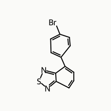 Brc1ccc(-c2cccc3nsnc23)cc1